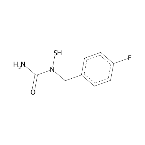 NC(=O)N(S)Cc1ccc(F)cc1